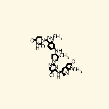 C[C@@H]1CN(c2ncc(Cl)c(Nc3cnc4c(c3)CC(=O)N4C)n2)CC[C@H]1Nc1ccc2c(N3CCC(=O)NC3=O)nn(C)c2c1